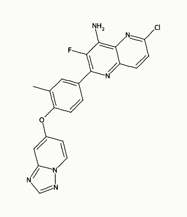 Cc1cc(-c2nc3ccc(Cl)nc3c(N)c2F)ccc1Oc1ccn2ncnc2c1